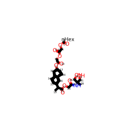 CCCCCCC(=O)OCC(=O)OCC(=O)Oc1ccc2cc(C(C)C(=O)OCC(=O)NC(C)(CO)CO)ccc2c1